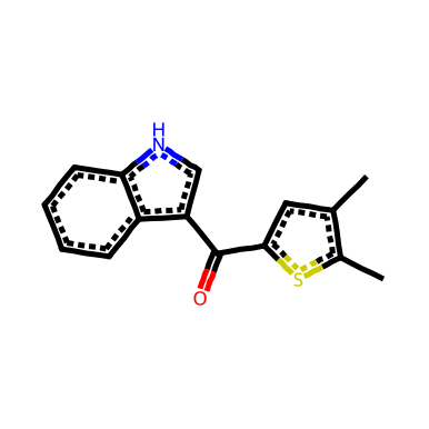 Cc1cc(C(=O)c2c[nH]c3ccccc23)sc1C